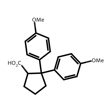 COc1ccc(C2(c3ccc(OC)cc3)CCCC2C(=O)O)cc1